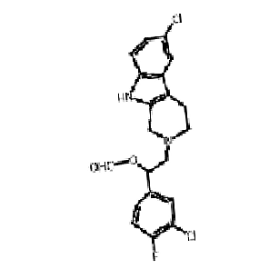 O=COC(CN1CCc2c([nH]c3ccc(Cl)cc23)C1)c1ccc(F)c(Cl)c1